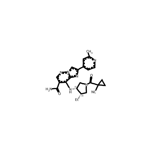 CC[C@H]1CN(C(=O)C2(C#N)CC2)C[C@H]1Nc1c(C(N)=O)cnn2cc(-c3ccnc(C)c3)nc12